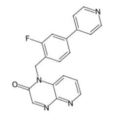 O=c1cnc2ncccc2n1Cc1ccc(-c2ccncc2)cc1F